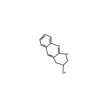 OC1CNc2nc3ccccc3cc2C1